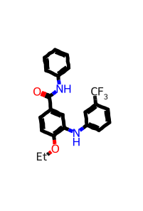 CCOc1ccc(C(=O)Nc2ccccc2)cc1Nc1cccc(C(F)(F)F)c1